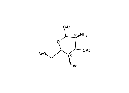 CC(=O)OCC1OC(OC(C)=O)[C@@H](N)C(OC(C)=O)[C@H]1OC(C)=O